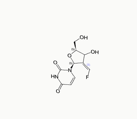 O=c1ccn([C@H]2O[C@@H](CO)C(O)/C2=C/F)c(=O)[nH]1